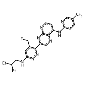 CCC(CC)CNc1cc(CF)c(-c2cnc3c(Nc4ccc(C(F)(F)F)cn4)ccnc3n2)nn1